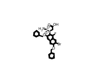 NS(=O)(=O)N(CC(=O)O)c1c(OCc2ccccc2)cc2cc(OCc3ccccc3)c(Br)cc2c1F